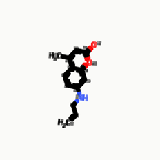 C=CCNc1ccc2c(C)cc(=O)oc2c1